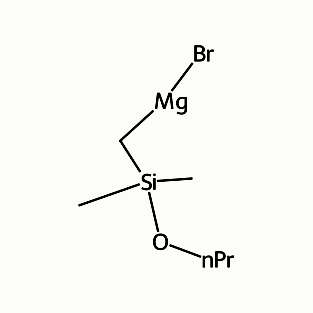 CCCO[Si](C)(C)[CH2][Mg][Br]